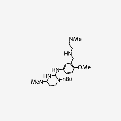 CCCCN1CCC(NC)NC1Nc1ccc(OC)c(CNCCNC)c1